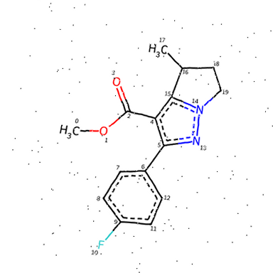 COC(=O)c1c(-c2ccc(F)cc2)nn2c1C(C)CC2